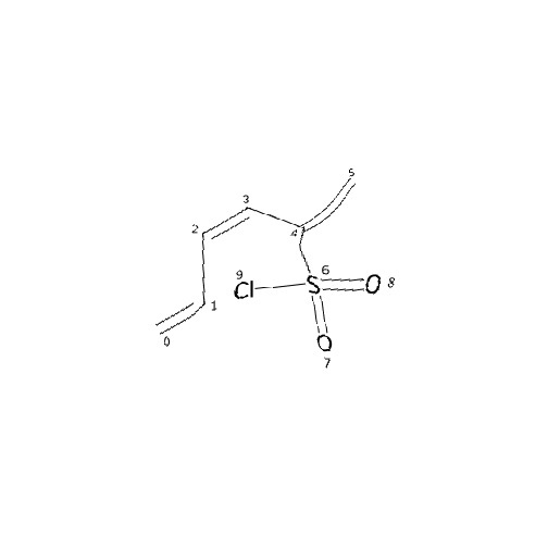 C=C/C=C\C(=C)S(=O)(=O)Cl